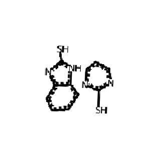 Sc1nc2ccccc2[nH]1.Sc1ncccn1